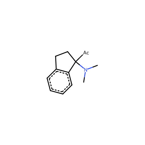 CC(=O)C1(N(C)C)CCc2ccccc21